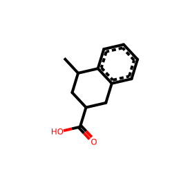 CC1CC(C(=O)O)Cc2ccccc21